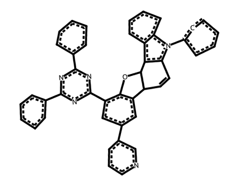 C1=CC2c3cc(-c4cccnc4)cc(-c4nc(-c5ccccc5)nc(-c5ccccc5)n4)c3OC2c2c1n(-c1ccccc1)c1ccccc21